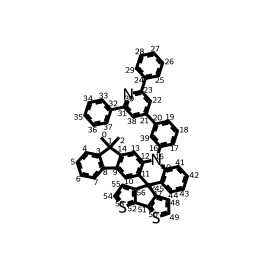 CC1(C)c2ccccc2-c2cc3c(cc21)N(c1cccc(-c2cc(-c4ccccc4)nc(-c4ccccc4)c2)c1)c1ccccc1C31c2ccsc2-c2sccc21